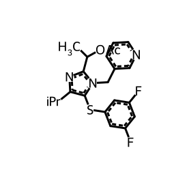 CC(=O)OC(C)c1nc(C(C)C)c(Sc2cc(F)cc(F)c2)n1Cc1cccnc1